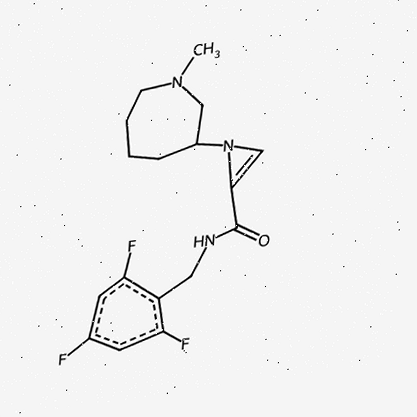 CN1CCCCC(N2C=C2C(=O)NCc2c(F)cc(F)cc2F)C1